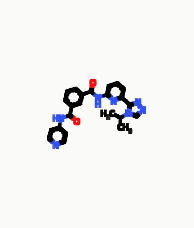 CC(C)n1cnnc1-c1cccc(NC(=O)c2cccc(C(=O)Nc3ccncc3)c2)n1